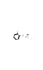 OP(O)OOc1ccccc1F